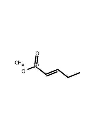 C.CCC=C[N+](=O)[O-]